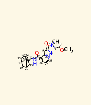 COCCN(C)C(=O)c1cc2c(C(=O)NCC34CC5CC(CC(C5)C3)C4)cccn2n1